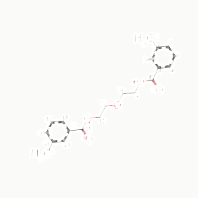 Cc1cccc(C(=O)OCCOCCOC(=O)c2cccc(C)c2)c1